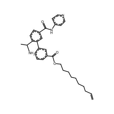 C=CCCCCCCCCOC(=O)c1cccc(-c2cc(C(=O)Nc3ccncc3)ccc2C(C)N)c1